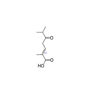 C/C(=C\CC(=O)C(C)C)C(=O)O